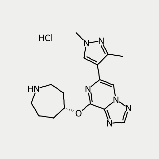 Cc1nn(C)cc1-c1cn2ncnc2c(O[C@@H]2CCCNCC2)n1.Cl